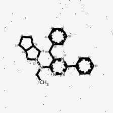 CCN(c1nnc(-c2ccccc2)nc1Cc1ccccc1)N1CC2CCCC2C1